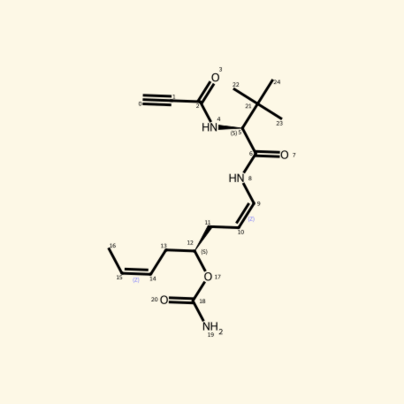 C#CC(=O)N[C@H](C(=O)N/C=C\C[C@H](C/C=C\C)OC(N)=O)C(C)(C)C